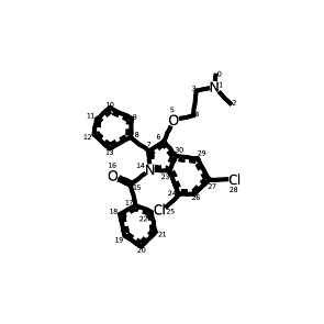 CN(C)CCOc1c(-c2ccccc2)n(C(=O)c2ccccc2)c2c(Cl)cc(Cl)cc12